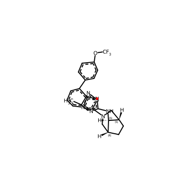 Cc1cc(N2C[C@H]3CC[C@@H](C2)[C@@H]3Nc2nc3c(-c4ccc(OC(F)(F)F)cc4)cccn3n2)sn1